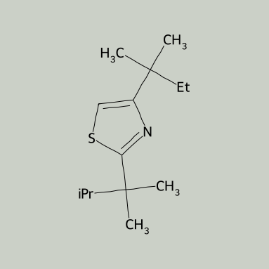 CCC(C)(C)c1csc(C(C)(C)C(C)C)n1